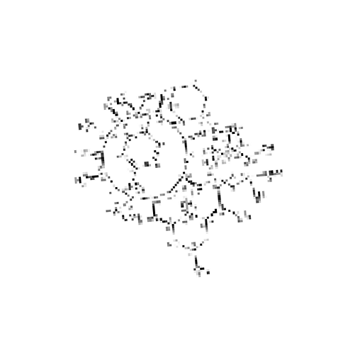 CC[C@H]1OC(=O)[C@H](C)[C@@H](O[C@H]2C[C@@](C)(OC)[C@@H](O)[C@H](C)O2)[C@H](C)[C@@H](O[C@@H]2O[C@H](C)C[C@H](N(C)CCc3cn([C@H]4CCCN(Cc5ccc([N+](=O)[O-])cc5)C4)nn3)[C@H]2O)[C@](C)(OC)C[C@@H](C)C(=O)[C@H](C)[C@@H](O)[C@]1(C)O